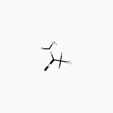 C=C=C(F)C(F)(F)C(F)(F)F.FCC(F)(F)F